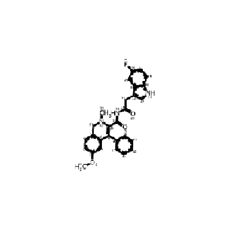 COc1ccc2c(c1)C(c1ccccc1)=C(C(=O)NC(=O)Cc1c[nH]c3ccc(F)cc13)N(C)C2